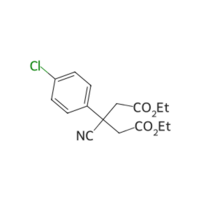 CCOC(=O)CC(C#N)(CC(=O)OCC)c1ccc(Cl)cc1